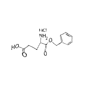 Cl.NC(CCC(=O)O)C(=O)OCc1ccccc1